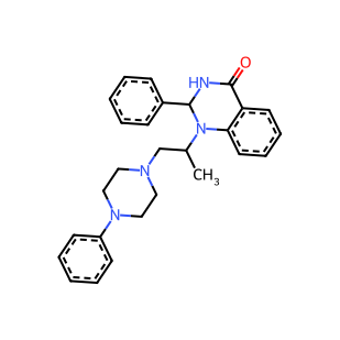 CC(CN1CCN(c2ccccc2)CC1)N1c2ccccc2C(=O)NC1c1ccccc1